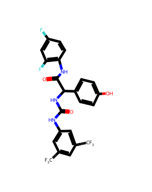 O=C(Nc1cc(C(F)(F)F)cc(C(F)(F)F)c1)NC(C(=O)Nc1ccc(F)cc1F)c1ccc(O)cc1